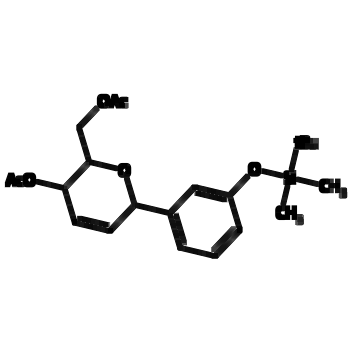 CC(=O)OCC1OC(c2cccc(O[Si](C)(C)C(C)(C)C)c2)C=CC1OC(C)=O